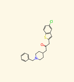 O=C(Cc1cc2cc(Cl)ccc2s1)CC1CCN(Cc2ccccc2)CC1